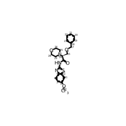 O=C(Nc1nc2ccc(OC(F)(F)F)cc2s1)[C@H](COCc1ccccc1)N1CCOCC1